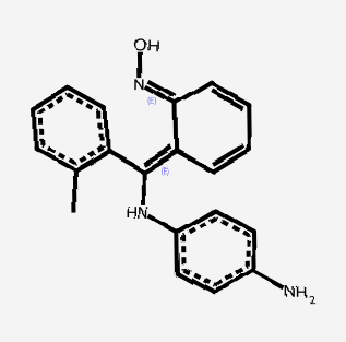 Cc1ccccc1/C(Nc1ccc(N)cc1)=C1/C=CC=C/C1=N\O